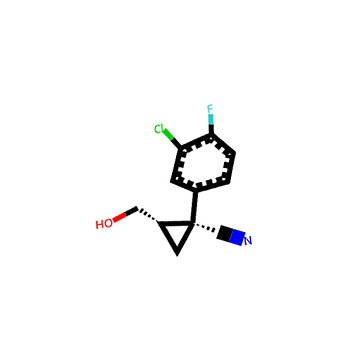 N#C[C@]1(c2ccc(F)c(Cl)c2)C[C@@H]1CO